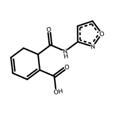 O=C(O)C1=CC=CCC1C(=O)Nc1ccon1